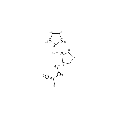 CC(=O)OC[C@H]1CCC[C@H]1CC1SCCS1